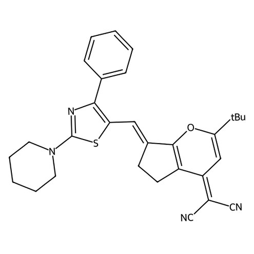 CC(C)(C)C1=CC(=C(C#N)C#N)C2=C(O1)/C(=C/c1sc(N3CCCCC3)nc1-c1ccccc1)CC2